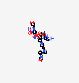 O=C(NS(=O)(=O)c1ccc(NCC2CCOCC2)c([N+](=O)[O-])c1)c1ccc(N2CCC3(CC2)CC(N2CCC[C@H]2c2ccccc2CN2CCOCC2)C3)cc1N1c2cc3cc[nH]c3nc2O[C@@H]2COC[C@H]21